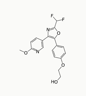 COc1ccc(-c2nc(C(F)F)oc2-c2ccc(OCCO)cc2)cn1